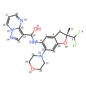 C[C@]1(C(F)F)Cc2cc(NC(O)c3cnn4cccnc34)c(N3CCOCC3)cc2O1